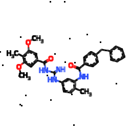 COc1cc(C(=O)NC(=N)Nc2ccc(C)c(NC(=O)c3ccc(Cc4ccccc4)cc3)c2)cc(OC)c1C